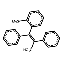 CSc1ccccc1C(=C(C(=O)O)c1ccccc1)c1ccccc1